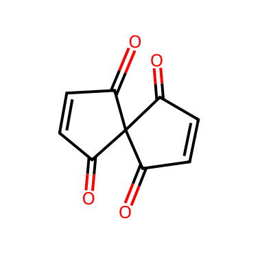 O=C1C=CC(=O)C12C(=O)C=CC2=O